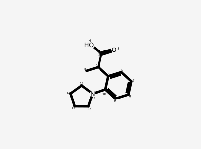 CC(C(=O)O)c1ccccc1N1CCCC1